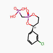 O=P(O)(O)CP1(=O)OCC[C@@H](c2cccc(Cl)c2)O1